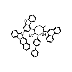 CC[C@H]1C(c2cc(-n3c4ccccc4c4cc5ccccc5cc43)cc3oc4ccccc4c23)CCC(C)C(c2cc3ccccc3c3ccccc23)NC1c1ccc(-c2ccccc2)cc1